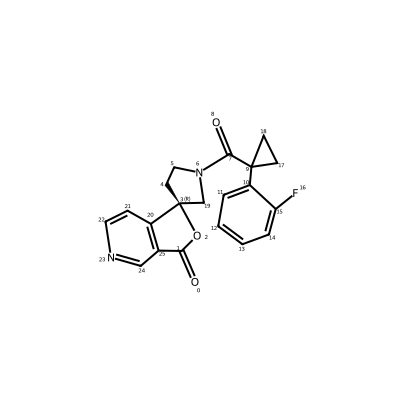 O=C1O[C@]2(CCN(C(=O)C3(c4ccccc4F)CC3)C2)c2ccncc21